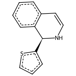 C1=Cc2ccccc2[C@H](c2cccs2)N1